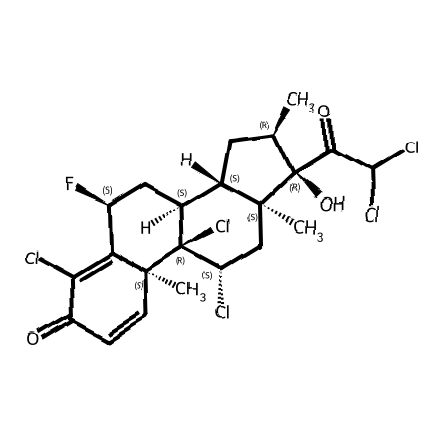 C[C@@H]1C[C@H]2[C@@H]3C[C@H](F)C4=C(Cl)C(=O)C=C[C@]4(C)[C@@]3(Cl)[C@@H](Cl)C[C@]2(C)[C@@]1(O)C(=O)C(Cl)Cl